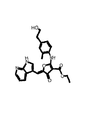 CCOC(=O)C1=C(Nc2ccc(CCO)cc2C)O/C(=C\c2c[nH]c3ncccc23)C1=O